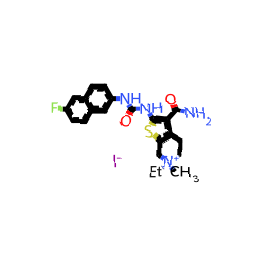 CC[N+]1(C)CCc2c(sc(NC(=O)Nc3ccc4cc(F)ccc4c3)c2C(N)=O)C1.[I-]